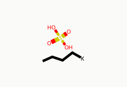 CCC[CH2][K].O=S(=O)(O)O